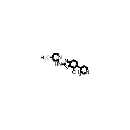 Cc1ccnc(Nc2nc3ccc(-c4ccncc4)c(C)c3s2)c1